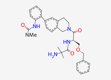 CNC(=O)Nc1ccccc1-c1ccc2c(c1)CCN(C(=O)[C@@H](COCc1ccccc1)NC(=O)C(C)(C)N)C2